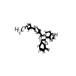 Cn1cc(-c2ncc(C(=O)N3CCc4[nH]cnc4[C@H]3c3cc4cccc(F)c4o3)s2)cn1